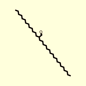 CCCCCCCCCCCCCCCCCCC(C=O)CCCCCCCCCCCCC